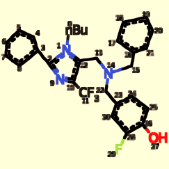 CCCCn1c(-c2ccccc2)nc(C(F)(F)F)c1CN(Cc1ccccc1)Cc1ccc(O)c(F)c1